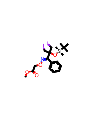 COC(=O)CO/N=C(\c1ccccc1)C(CI)(CI)O[Si](C)(C)C(C)(C)C